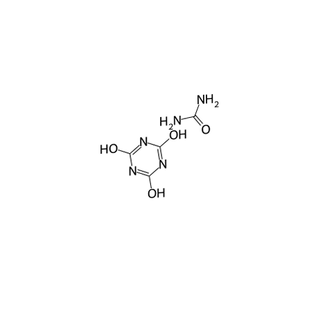 NC(N)=O.Oc1nc(O)nc(O)n1